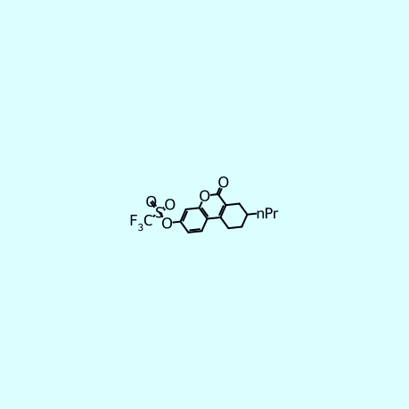 CCCC1CCc2c(c(=O)oc3cc(OS(=O)(=O)C(F)(F)F)ccc23)C1